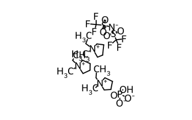 CC[N+]1(C)CCCC1.CC[N+]1(C)CCCC1.CC[N+]1(C)CCCC1.O=P([O-])([O-])O.O=S(=O)([N-]S(=O)(=O)C(F)(F)F)C(F)(F)F